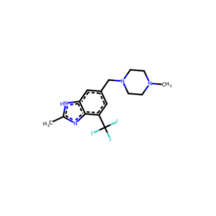 Cc1nc2c(C(F)(F)F)cc(CN3CCN(C)CC3)cc2[nH]1